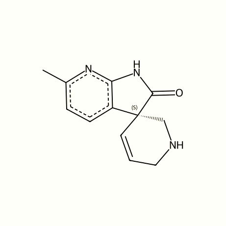 Cc1ccc2c(n1)NC(=O)[C@@]21C=CCNC1